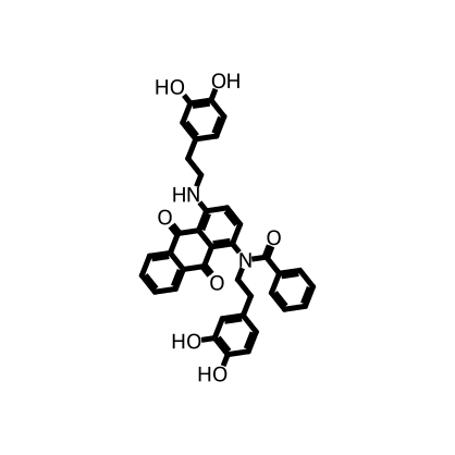 O=C1c2ccccc2C(=O)c2c(N(CCc3ccc(O)c(O)c3)C(=O)c3ccccc3)ccc(NCCc3ccc(O)c(O)c3)c21